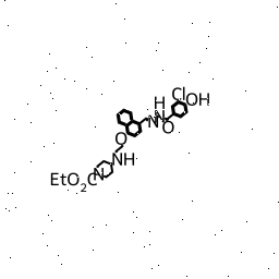 CCOC(=O)N1CCC(NCCOc2ccc(/C=N/NC(=O)c3ccc(O)c(Cl)c3)c3ccccc23)CC1